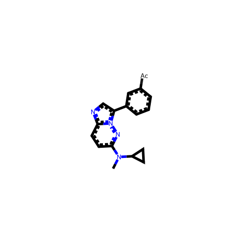 CC(=O)c1cccc(-c2cnc3ccc(N(C)C4CC4)nn23)c1